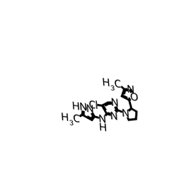 Cc1cc(C2CCCN2c2ncc(Cl)c(Nc3cc(C)[nH]n3)n2)on1